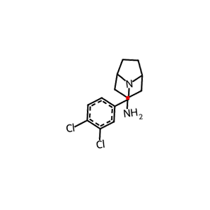 NC1CC2CCC(C1)N2Cc1ccc(Cl)c(Cl)c1